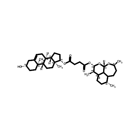 C[C@H]1[C@H](OC(=O)CCC(=O)O[C@H]2CC[C@H]3[C@@H]4CC=C5C[C@@H](O)CC[C@]5(C)[C@H]4CC[C@]23C)O[C@@H]2O[C@@H](C)CCC3C2[C@H]1CC[C@H]3C